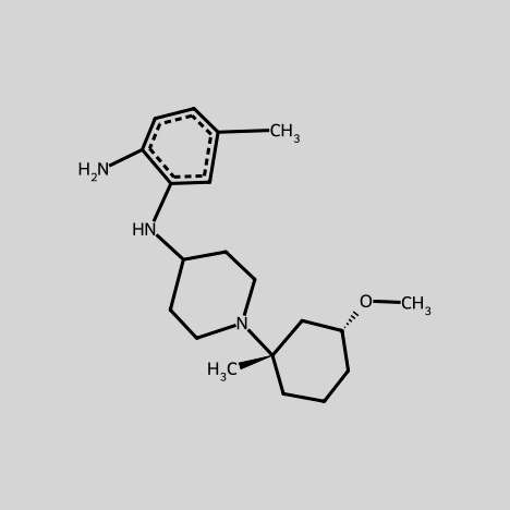 CO[C@@H]1CCC[C@](C)(N2CCC(Nc3cc(C)ccc3N)CC2)C1